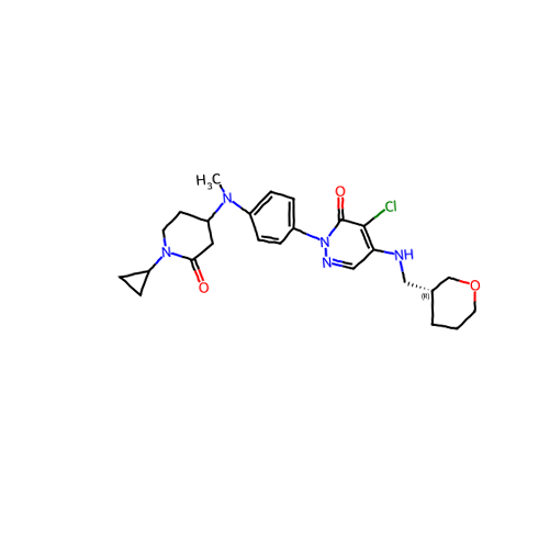 CN(c1ccc(-n2ncc(NC[C@H]3CCCOC3)c(Cl)c2=O)cc1)C1CCN(C2CC2)C(=O)C1